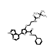 CC(C)(C)OC(=O)NCCOc1cc(-c2ccnc3[nH]ccc23)sc1C(=O)NCC1C=CC=CC1